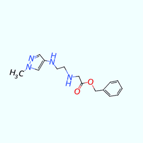 Cn1cc(NCCNCC(=O)OCc2ccccc2)cn1